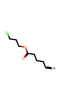 [CH]=CCCCC(=O)OCCCCl